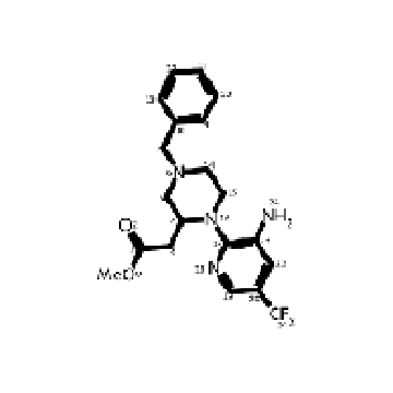 COC(=O)CC1CN(Cc2ccccc2)CCN1c1ncc(C(F)(F)F)cc1N